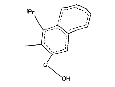 Cc1c(OO)cc2ccccc2c1C(C)C